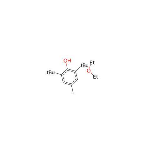 CCOCC.Cc1cc(C(C)(C)C)c(O)c(C(C)(C)C)c1